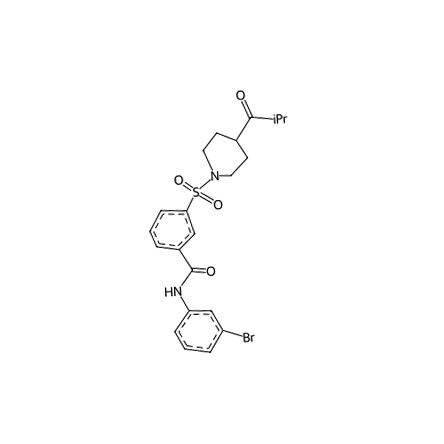 CC(C)C(=O)C1CCN(S(=O)(=O)c2cccc(C(=O)Nc3cccc(Br)c3)c2)CC1